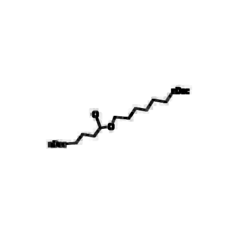 CCCCCCCCCCCCCCCCOC([O])CCCCCCCCCCCCC